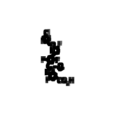 O=C(O)c1cc(F)c2nc(Cc3cc(F)c(-c4ccc(F)c(OCc5ncc(Cl)s5)n4)cc3F)n(C[C@@H]3CCO3)c2c1